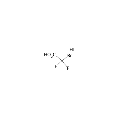 I.O=C(O)C(F)(F)Br